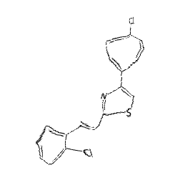 Clc1ccc(-c2csc(C=Cc3ccccc3Cl)n2)cc1